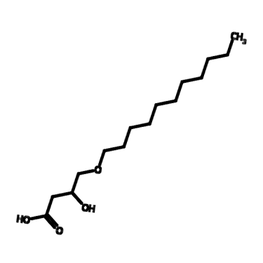 CCCCCCCCCCCOCC(O)CC(=O)O